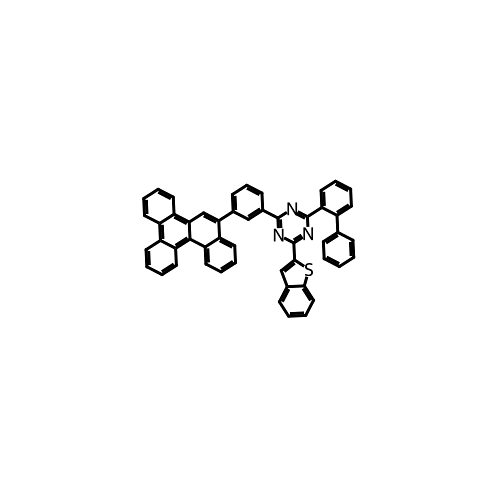 c1ccc(-c2ccccc2-c2nc(-c3cccc(-c4cc5c6ccccc6c6ccccc6c5c5ccccc45)c3)nc(-c3cc4ccccc4s3)n2)cc1